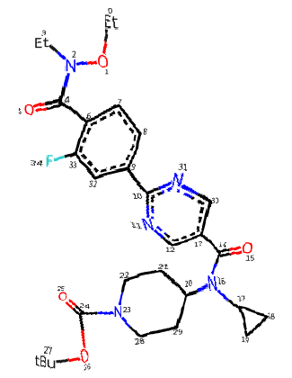 CCON(CC)C(=O)c1ccc(-c2ncc(C(=O)N(C3CC3)C3CCN(C(=O)OC(C)(C)C)CC3)cn2)cc1F